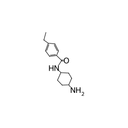 CCc1ccc(C(=O)NC2CCC(N)CC2)cc1